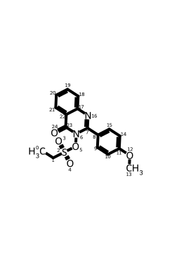 CCS(=O)(=O)On1c(-c2ccc(OC)cc2)nc2ccccc2c1=O